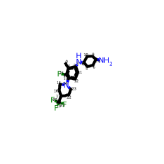 Cc1c(NC2CCC(N)CC2)ccc(N2CCC(C(F)(F)F)CC2)c1F